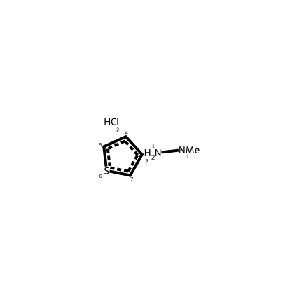 CNN.Cl.c1ccsc1